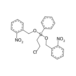 O=[N+]([O-])c1ccccc1CO[Si](CCCl)(OCc1ccccc1[N+](=O)[O-])c1ccccc1